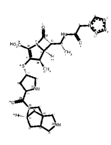 C[C@@H](NC(=O)Cn1cnnn1)[C@H]1C(=O)N2C(C(=O)O)=C(S[C@@H]3CNC(C(=O)N4C[C@@]56CNCC5C[C@@H]4C6)C3)[C@H](C)[C@H]12